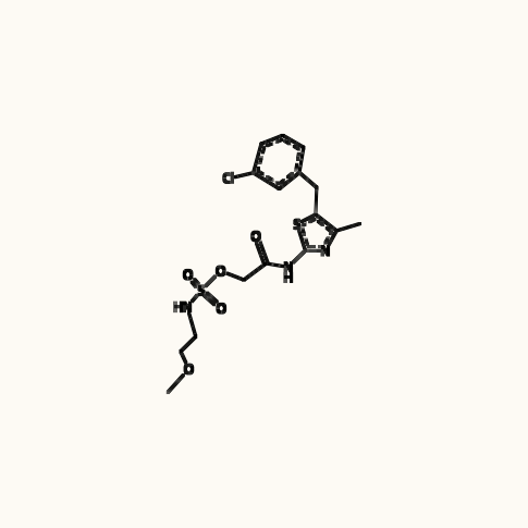 COCCNS(=O)(=O)OCC(=O)Nc1nc(C)c(Cc2cccc(Cl)c2)s1